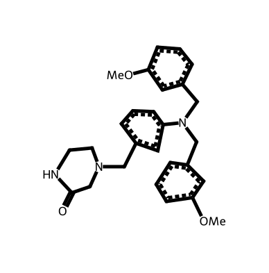 COc1cccc(CN(Cc2cccc(OC)c2)c2cccc(CN3CCNC(=O)C3)c2)c1